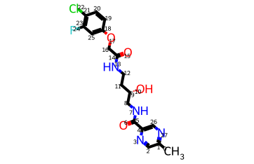 Cc1cnc(C(=O)NC[C@@H](O)CCNC(=O)COc2ccc(Cl)c(F)c2)cn1